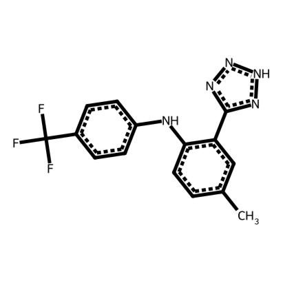 Cc1ccc(Nc2ccc(C(F)(F)F)cc2)c(-c2nn[nH]n2)c1